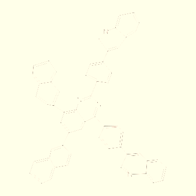 c1ccc2cc(-c3cc(-c4ccc5ccccc5c4)c4nc(-c5ccc(-c6cnc7ccccc7c6)cc5)nc(-c5ccc(-c6cnc7ccccc7c6)cc5)c4c3)ccc2c1